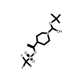 C=C(OS(=O)(=O)C(F)(F)F)C1CCN(C(O)OC(C)(C)C)CC1